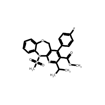 COC(=O)c1c(C(C)C)nc2c(c1-c1ccc(F)cc1)COc1ccccc1N2S(C)(=O)=O